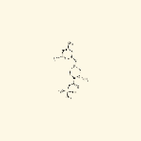 Cc1cc(O[C@H]2CCN(C(=O)OC(C)(C)C)[C@@H](C)C2)cc(C)n1